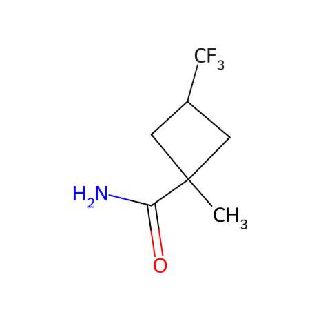 CC1(C(N)=O)CC(C(F)(F)F)C1